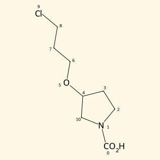 O=C(O)N1CCC(OCCCCl)C1